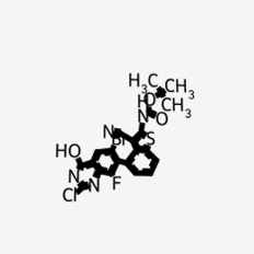 CC(C)(C)OC(=O)Nc1sc2cccc(-c3c(Br)cc4c(O)nc(Cl)nc4c3F)c2c1C#N